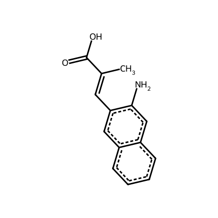 C/C(=C\c1cc2ccccc2cc1N)C(=O)O